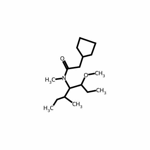 CCC(C)C(C(CC)OC)N(C)C(=O)CC1CCCC1